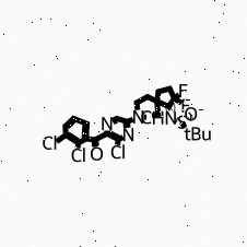 CC(C)(C)[S+]([O-])N[C@H]1C(F)(F)CCC12CCN(c1cnc(C(=O)c3cccc(Cl)c3Cl)c(Cl)n1)CC2